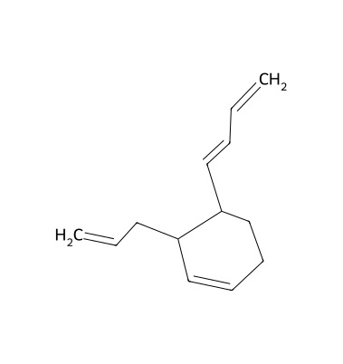 C=CC=CC1CCC=CC1CC=C